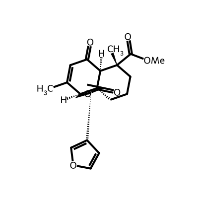 COC(=O)[C@]1(C)CCC[C@]23C(=O)O[C@@H](c4ccoc4)C[C@H]2C(C)=CC(=O)[C@H]31